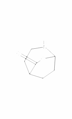 O=C1OC2CCC1CCN2